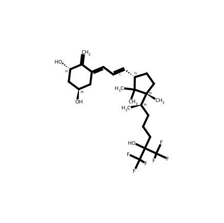 C=C1C(=C/C=C/[C@@H]2CC[C@](C)([C@H](C)CCCC(O)(C(F)(F)F)C(F)(F)F)C2(C)C)C[C@@H](O)C[C@@H]1O